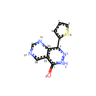 O=c1[nH]nc(-c2cccs2)c2ncncc12